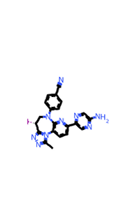 Cc1nnc2n1-c1ccc(-c3cnc(N)cn3)nc1N(c1ccc(C#N)cc1)C[C@H]2I